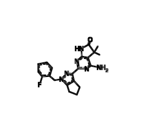 CC1(C)C(=O)Nc2nc(-c3nn(Cc4ccccc4F)c4c3CCC4)nc(N)c21